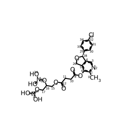 Cc1ncc2c(c1OC(=O)CCC(=O)OCC(CON(O)O)ON(O)O)CO[C@H]2c1ccc(Cl)cc1